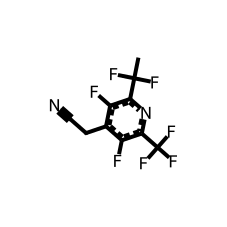 CC(F)(F)c1nc(C(F)(F)F)c(F)c(CC#N)c1F